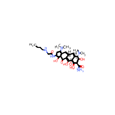 CCCCNCC(=O)Nc1cc(N(C)C)c2c(c1O)C(=O)C1=C(O)[C@]3(O)C(=O)C(C(N)=O)=C(O)[C@@H](N(C)C)[C@@H]3C[C@@H]1C2